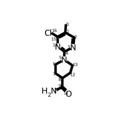 Cc1cnc(N2CCC(C(N)=O)CC2)nc1Cl